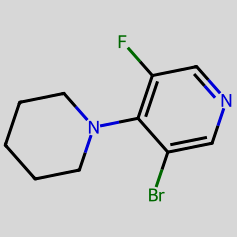 Fc1cncc(Br)c1N1CCCCC1